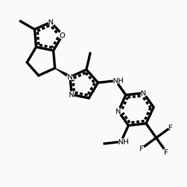 CNc1nc(Nc2cnn([C@H]3CCc4c(C)noc43)c2C)ncc1C(F)(F)F